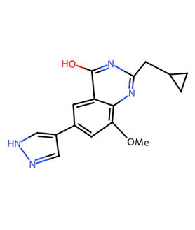 COc1cc(-c2cn[nH]c2)cc2c(O)nc(CC3CC3)nc12